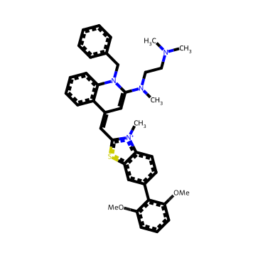 COc1cccc(OC)c1-c1ccc2c(c1)sc(C=C1C=C(N(C)CCN(C)C)N(Cc3ccccc3)c3ccccc31)[n+]2C